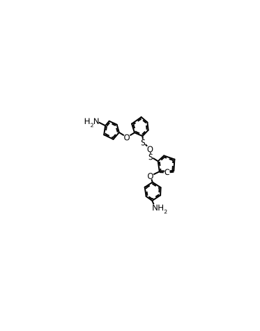 Nc1ccc(Oc2ccccc2SOSc2ccccc2Oc2ccc(N)cc2)cc1